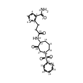 NC(=O)c1ccsc1C[CH]C(=O)N[C@H]1CCCN(S(=O)(=O)c2ccccn2)CC1=O